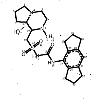 CN1CCN2CCC[C@]2(C)C1CS(=O)(=O)NC(=O)Nc1c2c(cc3c1CCC3)CCC2